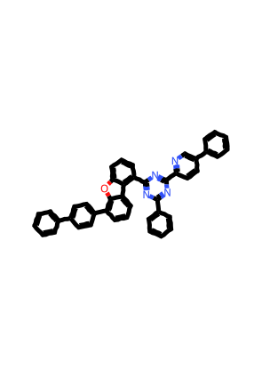 c1ccc(-c2ccc(-c3cccc4c3oc3cccc(-c5nc(-c6ccccc6)nc(-c6ccc(-c7ccccc7)cn6)n5)c34)cc2)cc1